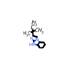 CC(C)(C)c1cn2c(n1)[nH]c1ccccc12